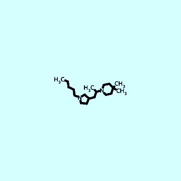 CCCCCN1CCC(CC(C)N2CCC(C)(C)CC2)C1